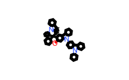 c1ccc(-n2c3ccccc3c3cc(-n4c5ccccc5c5cc6c(cc54)Oc4ccccc4C64c5ccccc5-n5c6ccccc6c6cccc4c65)ccc32)cc1